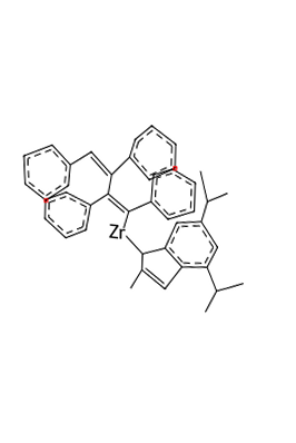 CC1=Cc2c(C(C)C)cc(C(C)C)cc2[CH]1[Zr]/[C](=C(/C(=C\c1ccccc1)c1ccccc1)c1ccccc1)c1ccccc1